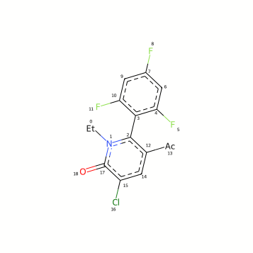 CCn1c(-c2c(F)cc(F)cc2F)c(C(C)=O)cc(Cl)c1=O